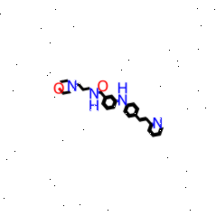 O=C(NCCCN1CCOCC1)c1cccc(Nc2ccc(/C=C/c3ccccn3)cc2)c1